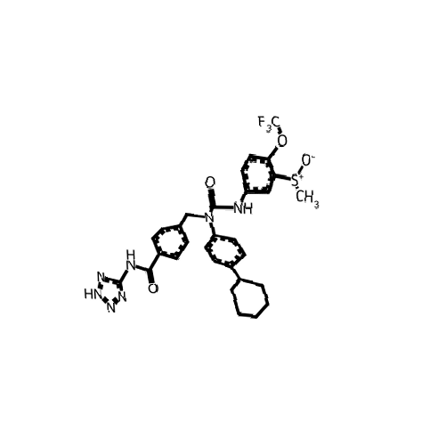 C[S+]([O-])c1cc(NC(=O)N(Cc2ccc(C(=O)Nc3nn[nH]n3)cc2)c2ccc(C3CCCCC3)cc2)ccc1OC(F)(F)F